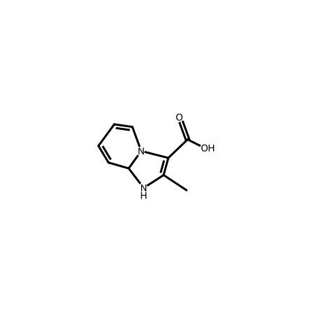 CC1=C(C(=O)O)N2C=CC=CC2N1